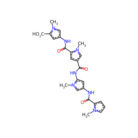 Cn1cc(NC(=O)c2cccn2C)cc1NC(=O)c1cc(C(=O)Nc2cc(C(=O)O)n(C)c2)n(C)c1